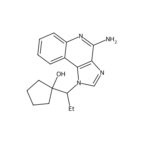 CCC(n1cnc2c(N)nc3ccccc3c21)C1(O)CCCC1